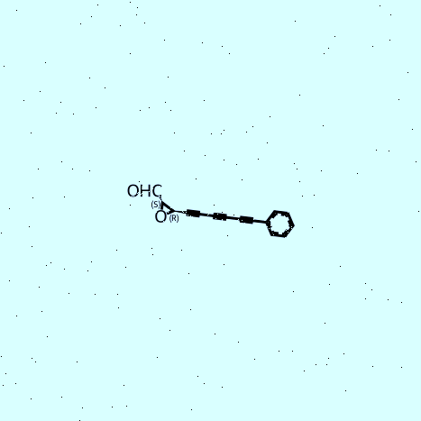 O=C[C@H]1O[C@@H]1C#CC#CC#Cc1ccccc1